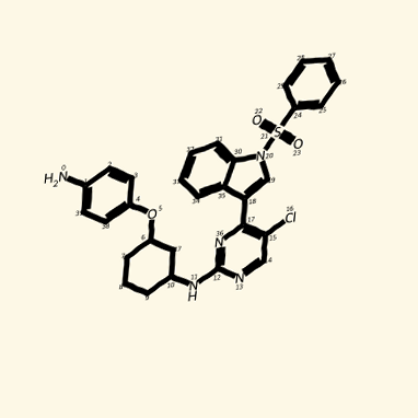 Nc1ccc(OC2CCCC(Nc3ncc(Cl)c(-c4cn(S(=O)(=O)c5ccccc5)c5ccccc45)n3)C2)cc1